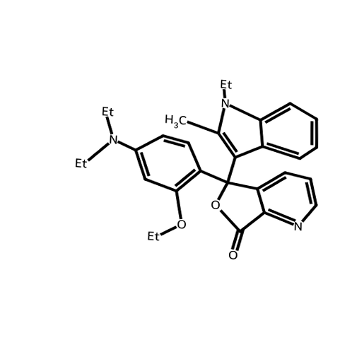 CCOc1cc(N(CC)CC)ccc1C1(c2c(C)n(CC)c3ccccc23)OC(=O)c2ncccc21